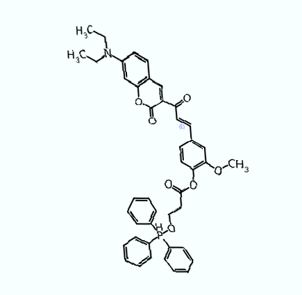 CCN(CC)c1ccc2cc(C(=O)/C=C/c3ccc(OC(=O)CCO[PH](c4ccccc4)(c4ccccc4)c4ccccc4)c(OC)c3)c(=O)oc2c1